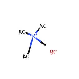 CC(=O)[N+](C)(C(C)=O)C(C)=O.[Br-]